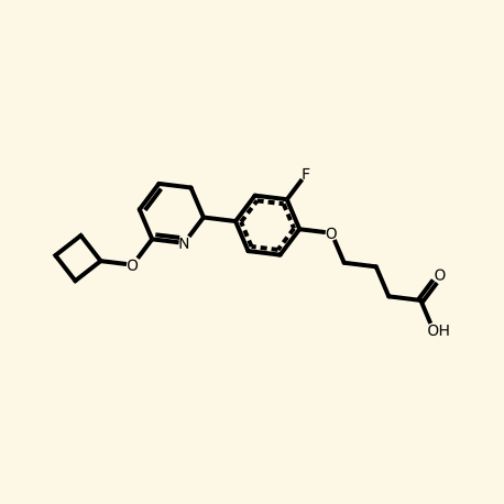 O=C(O)CCCOc1ccc(C2CC=CC(OC3CCC3)=N2)cc1F